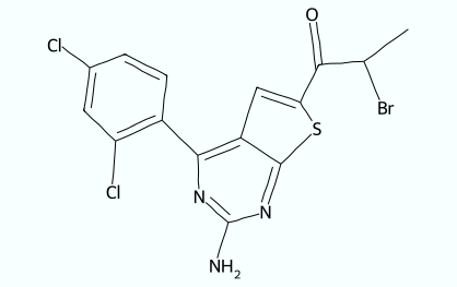 CC(Br)C(=O)c1cc2c(-c3ccc(Cl)cc3Cl)nc(N)nc2s1